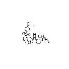 Cc1ccc(S(=O)(=O)N2C=CNC(=O)[C@H]2CC(=O)NC2CCCC(C)C2C)cc1